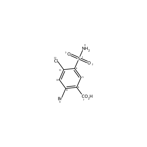 NS(=O)(=O)c1cc(C(=O)O)c(Br)cc1Cl